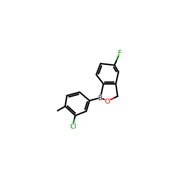 Cc1ccc(B2OCc3cc(F)ccc32)cc1Cl